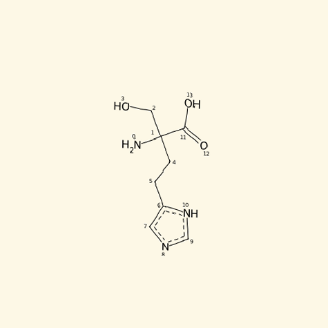 NC(CO)(CCc1cnc[nH]1)C(=O)O